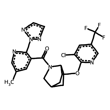 Cc1cnc(-n2nccn2)c(C(=O)N2CC3CCC2C(Oc2ncc(C(F)(F)F)cc2Cl)C3)c1